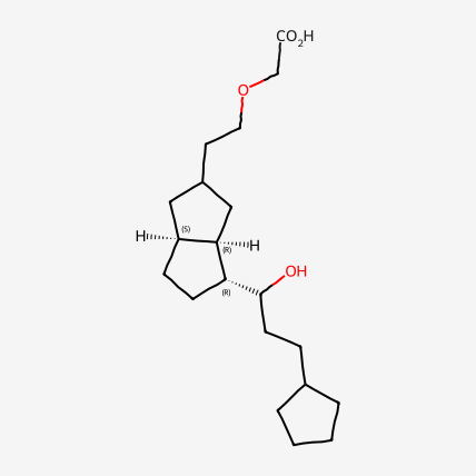 O=C(O)COCCC1C[C@@H]2CC[C@@H](C(O)CCC3CCCC3)[C@@H]2C1